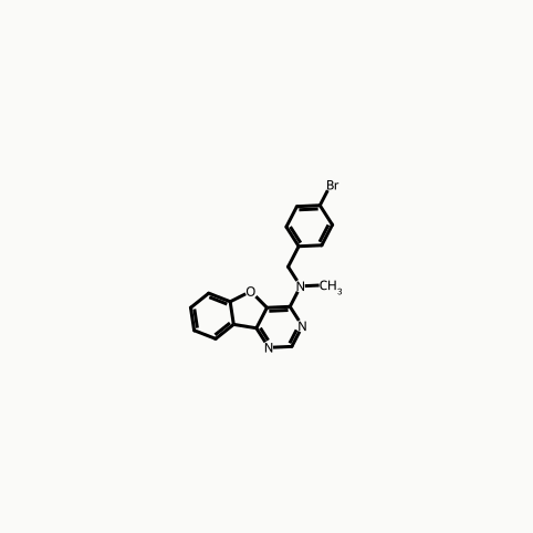 CN(Cc1ccc(Br)cc1)c1ncnc2c1oc1ccccc12